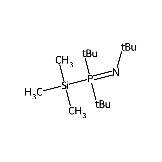 CC(C)(C)N=P(C(C)(C)C)(C(C)(C)C)[Si](C)(C)C